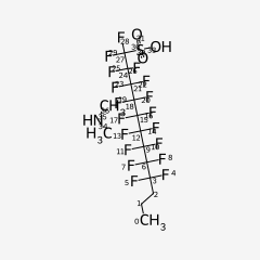 CCCC(F)(F)C(F)(F)C(F)(F)C(F)(F)C(F)(F)C(F)(F)C(F)(F)C(F)(F)C(F)(F)S(=O)(=O)O.CNC